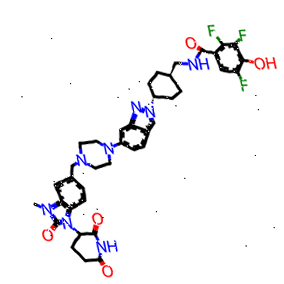 Cn1c(=O)n(C2CCC(=O)NC2=O)c2ccc(CN3CCN(c4ccc5cn([C@H]6CC[C@H](CNC(=O)c7cc(F)c(O)c(F)c7F)CC6)nc5c4)CC3)cc21